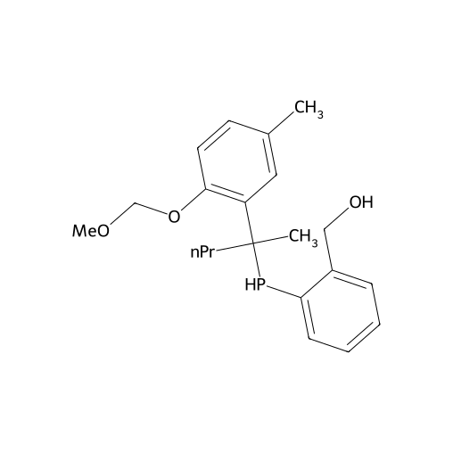 CCCC(C)(Pc1ccccc1CO)c1cc(C)ccc1OCOC